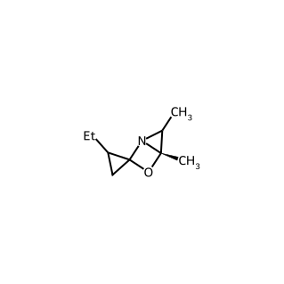 CCC1CC12O[C@@]1(C)C(C)N21